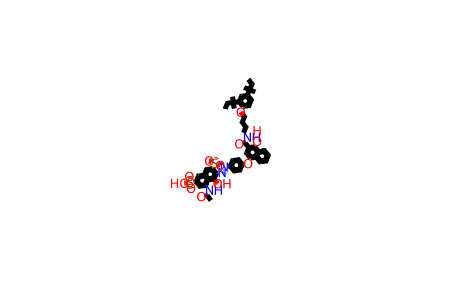 CCC(C)(C)c1ccc(OCCCCNC(=O)c2cc(Oc3ccc(/N=N/c4c(S(C)(=O)=O)cc5cc(S(=O)(=O)O)cc(NC(C)=O)c5c4O)cc3)c3ccccc3c2O)c(C(C)(C)CC)c1